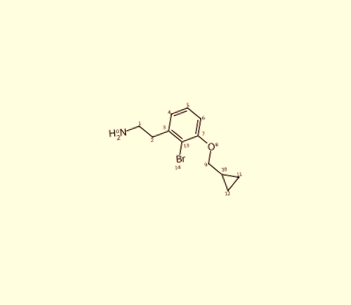 NCCc1cccc(OCC2CC2)c1Br